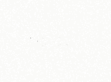 CC(C)c1cc(Cc2c(Cl)cc(N(C)CC(=O)O)cc2Cl)ccc1O